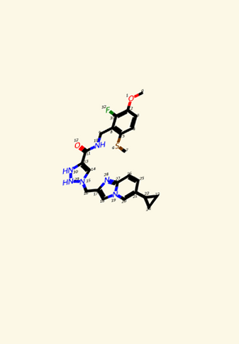 COc1ccc(SC)c(CNC(=O)C2=CN(Cc3cn4cc(C5CC5)ccc4n3)NN2)c1F